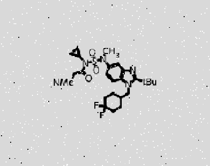 CNCC(=O)N(C1CC1)S(=O)(=O)N(C)c1ccc2c(c1)nc(C(C)(C)C)n2CC1CCC(F)(F)CC1